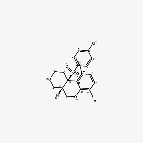 O=S(=O)(c1ccc(Cl)cc1)[C@]12CCOC[C@H]1COc1c(F)ccc(F)c12